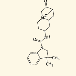 CC1(C)CN(C(=O)NC2CC3CC4CC(C2)N3CC4=O)c2ccccc21